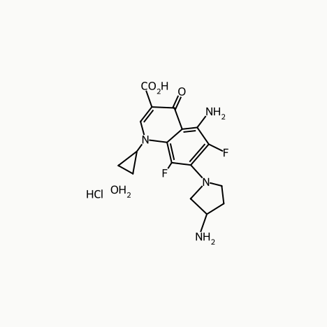 Cl.Nc1c(F)c(N2CCC(N)C2)c(F)c2c1c(=O)c(C(=O)O)cn2C1CC1.O